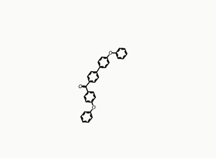 O=C(c1ccc(Oc2ccccc2)cc1)c1ccc(-c2ccc(Oc3ccccc3)cc2)cc1